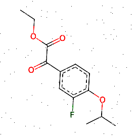 CCOC(=O)C(=O)c1ccc(OC(C)C)c(F)c1